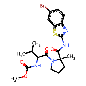 COC(=O)N[C@H](C(=O)N1CCC[C@@]1(C)C(=O)Nc1nc2ccc(Br)cc2s1)C(C)C